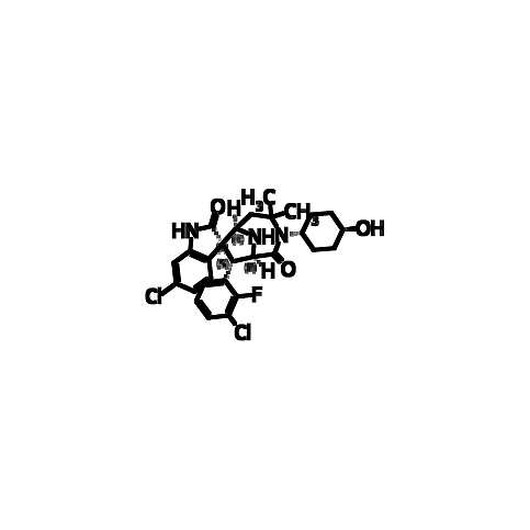 CC1(C)C[C@H]2N[C@@H](C(=O)N1[C@H]1CC[C@H](O)CC1)[C@H](c1cccc(Cl)c1F)[C@]21C(=O)Nc2cc(Cl)ccc21